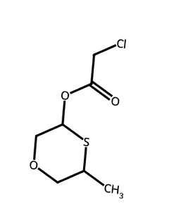 CC1COCC(OC(=O)CCl)S1